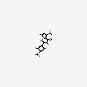 Cc1cc(N(C)C)c(F)cc1-c1nn2c(C)cc(C(C)C)c2c(=O)n1C